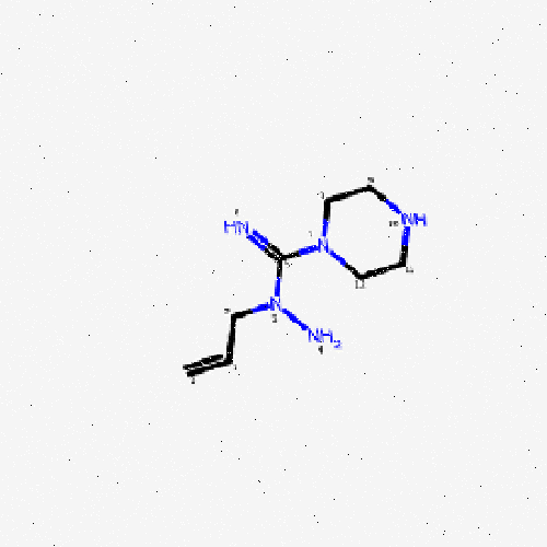 C=CCN(N)C(=N)N1CCNCC1